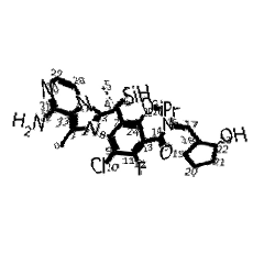 Cc1nc([C@@](C)([SiH3])c2cc(Cl)c(F)c(C(=O)/N=C\C3CCC[C@H]3O)c2OC(C)C)n2ccnc(N)c12